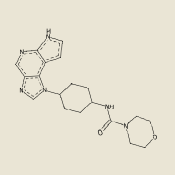 O=C(NC1CCC(n2cnc3cnc4[nH]ccc4c32)CC1)N1CCOCC1